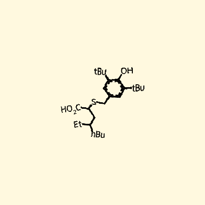 CCCCC(CC)CC(SCc1cc(C(C)(C)C)c(O)c(C(C)(C)C)c1)C(=O)O